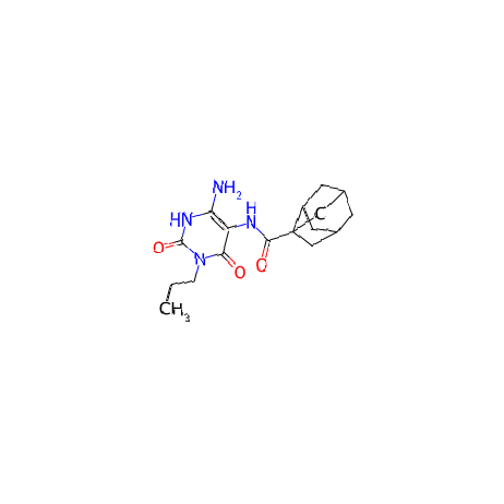 CCCn1c(=O)[nH]c(N)c(NC(=O)C23CC4CC(CC2C4)C3)c1=O